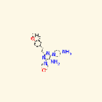 COc1ccc(/C=C/c2nc(N3CCOCC3)c(N)c(N3CCC(N)CC3)n2)cc1